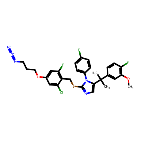 COc1cc(C(C)(C)c2cnc(SCc3c(F)cc(OCCCN=[N+]=[N-])cc3Cl)n2-c2ccc(F)cc2)ccc1F